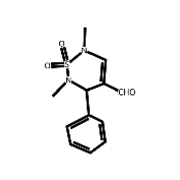 CN1C=C(C=O)C(c2ccccc2)N(C)S1(=O)=O